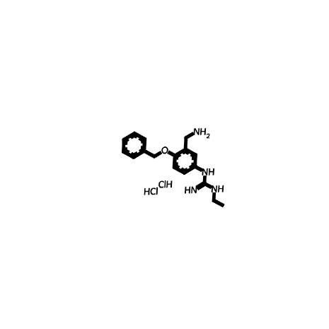 CCNC(=N)Nc1ccc(OCc2ccccc2)c(CN)c1.Cl.Cl